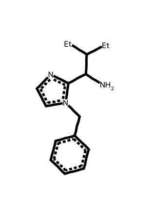 CCC(CC)C(N)c1nccn1Cc1ccccc1